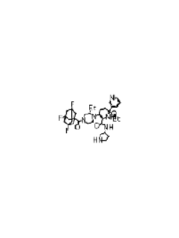 CCOC1(c2cccnc2)C=CC(N2CCN(C(=O)C34CC5(F)CC(F)(CC(F)(C5)C3)C4)C[C@H]2CC)=C(C(=O)N[C@@H]2CCNC2)N1